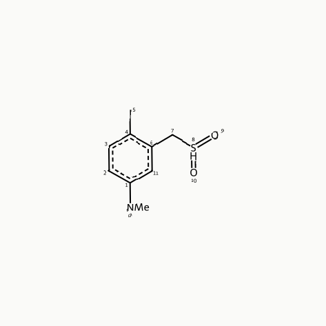 CNc1ccc(C)c(C[SH](=O)=O)c1